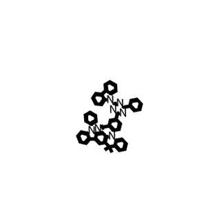 CC1(C)c2ccccc2N(c2ccc(-c3nc(-c4ccccc4)nc(-n4c5ccccc5c5ccccc54)n3)cc2C#N)c2cc3c(cc21)c1ccccc1n3-c1ccccc1